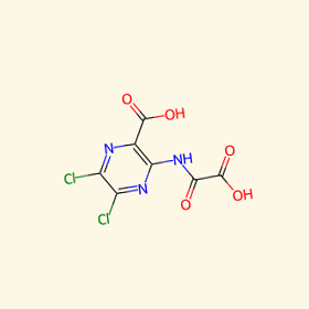 O=C(O)C(=O)Nc1nc(Cl)c(Cl)nc1C(=O)O